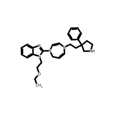 CCOCCn1c(N2C=CN(CCC3(c4ccccc4)CCNC3)C=CC2)nc2ccccc21